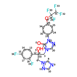 O=c1n(C[C@](O)(Cn2cncn2)c2ccc(F)cc2F)cnn1-c1ccc(OC(F)(F)C(F)F)cc1